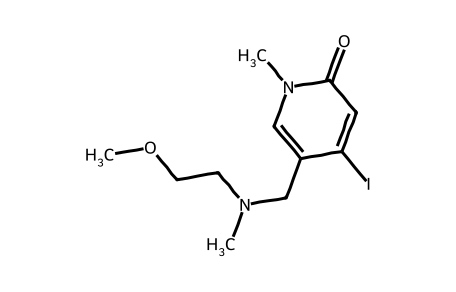 COCCN(C)Cc1cn(C)c(=O)cc1I